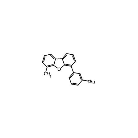 Cc1cccc2c1oc1c(-c3cccc(C(C)(C)C)c3)cccc12